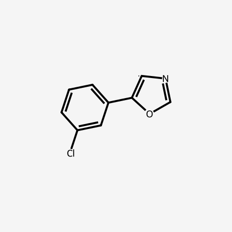 Clc1cccc(-c2[c]nco2)c1